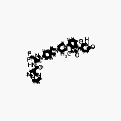 Cn1c(=O)n(C2CCC(=O)NC2=O)c2cccc(N3CCC(N4CC5(CCC(n6cc(NC(=O)c7cnn8cccnc78)c(C(F)F)n6)CC5)C4)CC3)c21